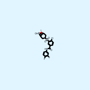 C[C@H]1CC2CC(S(=O)(=O)c3cc(C(=O)Nc4ccc(F)c(F)c4)ccc3Cl)CC1[C@@]2(O)C=O